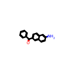 Nc1[c]cc2cc(C(=O)c3ccccc3)ccc2c1